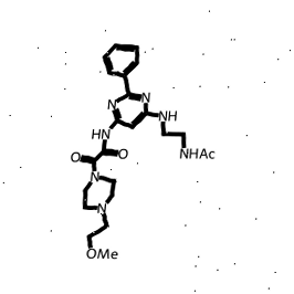 COCCN1CCN(C(=O)C(=O)Nc2cc(NCCNC(C)=O)nc(-c3ccccc3)n2)CC1